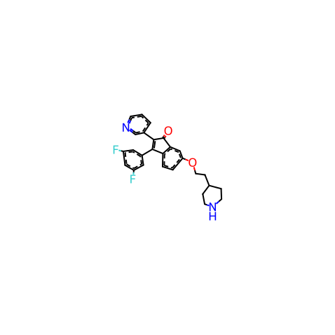 O=C1C(c2cccnc2)=C(c2cc(F)cc(F)c2)c2ccc(OCCC3CCNCC3)cc21